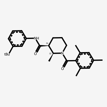 Cc1cc(C)c(C(=O)N2CCC[C@H](C(=O)Nc3cccc(C(C)(C)C)c3)[C@@H]2C)c(C)c1